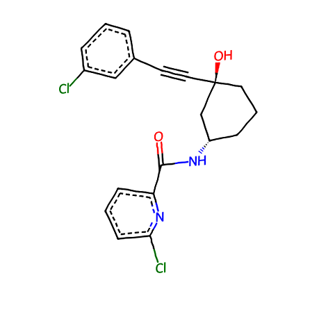 O=C(N[C@H]1CCC[C@@](O)(C#Cc2cccc(Cl)c2)C1)c1cccc(Cl)n1